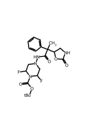 CC(C)(C)OC(=O)N1C(F)CN(NC(=O)C(C)(c2ccccc2)C2CNC(=O)O2)CC1F